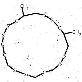 CC1CSSCCCSSCCCSSCC(C)CSSC1